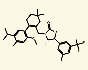 COc1cc(F)c(C(C)C)cc1C1=C(CN2C(=O)O[C@@H](c3cc(C)cc(C(F)(F)F)c3)[C@@H]2C)CC(C)(C)CC1